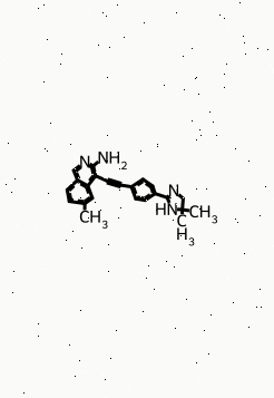 Cc1ccc2cnc(N)c(C#Cc3ccc(C4=NCC(C)(C)N4)cc3)c2c1